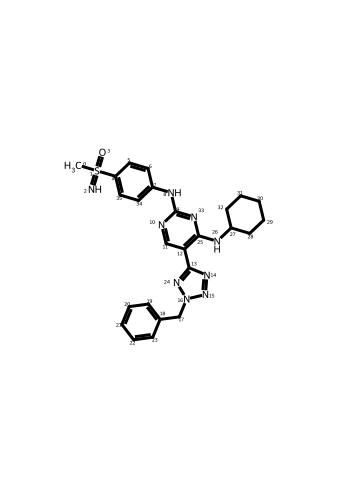 CS(=N)(=O)c1ccc(Nc2ncc(-c3nnn(Cc4ccccc4)n3)c(NC3CCCCC3)n2)cc1